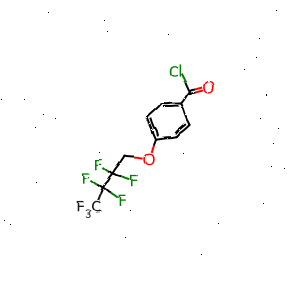 O=C(Cl)c1ccc(OCC(F)(F)C(F)(F)C(F)(F)F)cc1